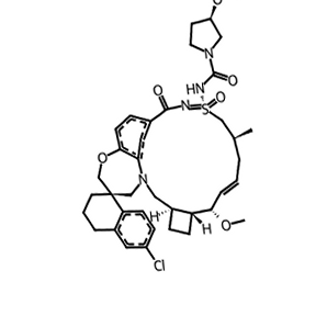 CO[C@@H]1CCN(C(=O)N[S@@]2(=O)=NC(=O)c3ccc4c(c3)N(C[C@@H]3CC[C@H]3[C@@H](OC)/C=C/C[C@H](C)C2)C[C@@]2(CCCc3cc(Cl)ccc32)CO4)C1